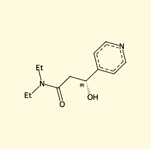 CCN(CC)C(=O)C[C@@H](O)c1ccncc1